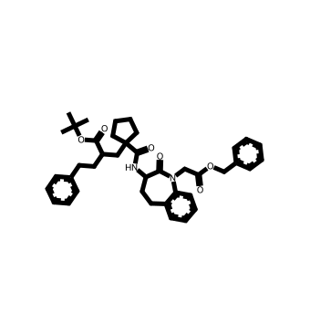 CC(C)(C)OC(=O)C(CCc1ccccc1)CC1(C(=O)NC2CCc3ccccc3N(CC(=O)OCc3ccccc3)C2=O)CCCC1